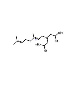 CCCCC(CC)CN(C/C=C(\C)CCC=C(C)C)CC(CC)CCCC